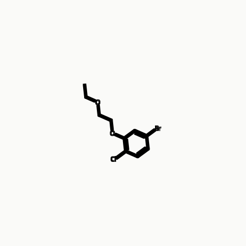 CCOCCOc1cc(Br)ccc1Cl